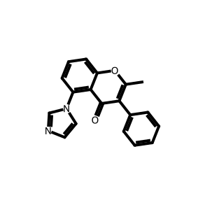 Cc1oc2cccc(-n3ccnc3)c2c(=O)c1-c1ccccc1